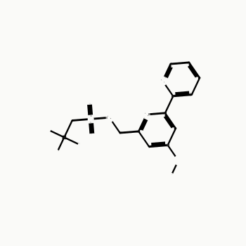 COc1cc(CNS(=O)(=O)CC(F)(F)F)nc(-c2ccccn2)c1